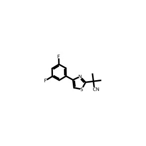 CC(C)(C#N)c1nc(-c2cc(F)cc(F)c2)cs1